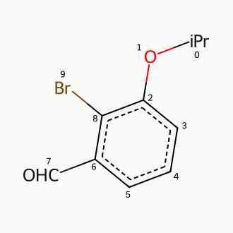 CC(C)Oc1cccc(C=O)c1Br